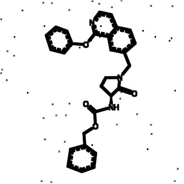 O=C(N[C@H]1CCN(Cc2ccc3ccnc(Oc4ccccc4)c3c2)C1=O)OCc1ccccc1